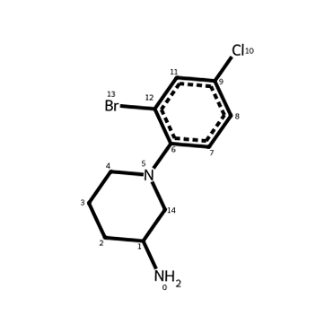 NC1CCCN(c2ccc(Cl)cc2Br)C1